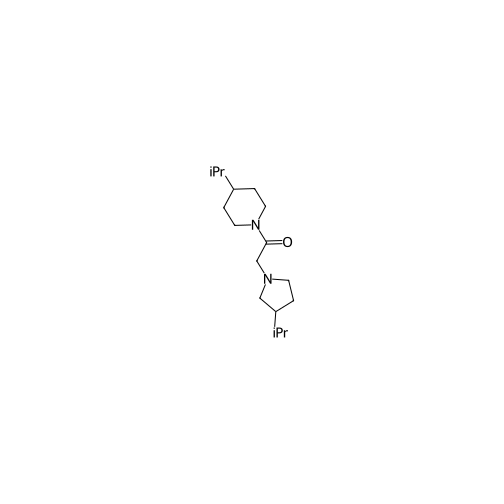 CC(C)C1CCN(C(=O)CN2CCC(C(C)C)C2)CC1